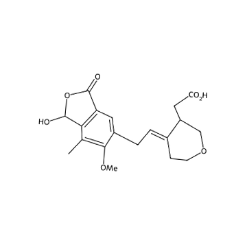 COc1c(CC=C2CCOCC2CC(=O)O)cc2c(c1C)C(O)OC2=O